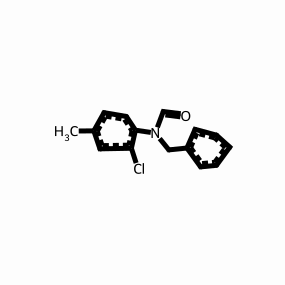 Cc1ccc(N(C=O)Cc2ccccc2)c(Cl)c1